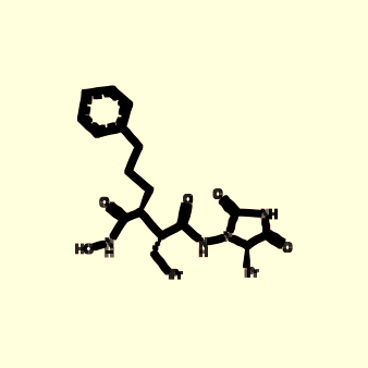 CC(C)C[C@@H](C(=O)NN1C(=O)NC(=O)[C@H]1C(C)C)[C@H](CCCc1ccccc1)C(=O)NO